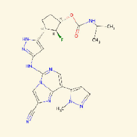 CC(C)NC(=O)O[C@H]1CC[C@@H](c2cc(Nc3ncc(-c4ccnn4C)c4nc(C#N)cn34)n[nH]2)[C@@H]1F